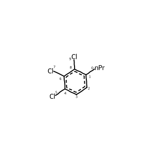 CCCc1ccc(Cl)c(Cl)c1Cl